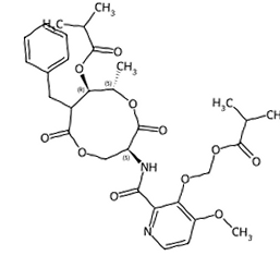 COc1ccnc(C(=O)N[C@H]2COC(=O)C(Cc3ccccc3)[C@@H](OC(=O)C(C)C)[C@H](C)OC2=O)c1OCOC(=O)C(C)C